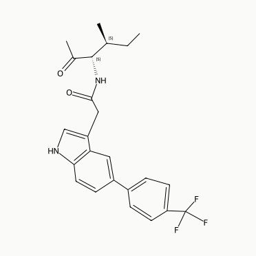 CC[C@H](C)[C@H](NC(=O)Cc1c[nH]c2ccc(-c3ccc(C(F)(F)F)cc3)cc12)C(C)=O